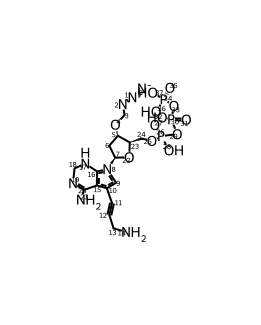 [N-]=[N+]=NCO[C@H]1C[C@H](n2cc(C#CCN)c3c2NCN=C3N)O[C@@H]1COP(=O)(O)OP(=O)(O)OP(=O)(O)O